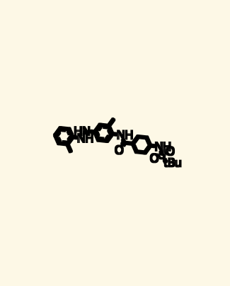 Cc1ccccc1NNc1ccc(NC(=O)C2CCC(NS(=O)(=O)C(C)(C)C)CC2)c(C)c1